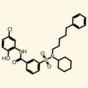 O=C(Nc1cc(Cl)ccc1O)c1cccc(S(=O)(=O)N(CCCCCc2ccccc2)C2CCCCC2)c1